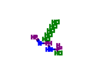 Cl.Cl.Cl.Cl.Cl.Cl.P=NPNP